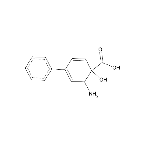 NC1C=C(c2ccccc2)C=CC1(O)C(=O)O